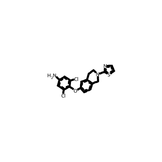 Nc1cc(Cl)c(Oc2ccc3c(c2)CCN(c2nccs2)C3)c(Cl)c1